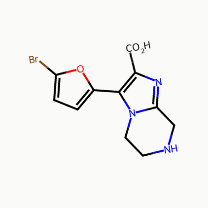 O=C(O)c1nc2n(c1-c1ccc(Br)o1)CCNC2